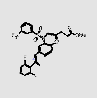 COC(=O)CCC1CN(S(=O)(=O)c2cccc(C(F)(F)F)c2)c2cc(/C=C(\C)c3c(F)cccc3Cl)ccc2O1